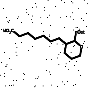 CCCCCCCCC1OCCCC1CCCCCCC(=O)O